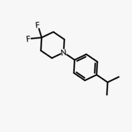 CC(C)c1ccc(N2CCC(F)(F)CC2)cc1